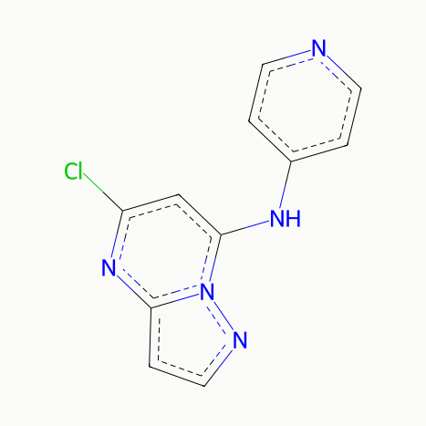 Clc1cc(Nc2ccncc2)n2nccc2n1